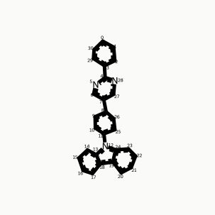 c1ccc(-c2ncc(-c3ccc(-n4c5ccccc5c5ccccc54)cc3)cn2)cc1